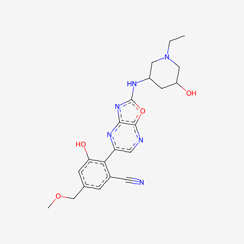 CCN1CC(O)CC(Nc2nc3nc(-c4c(O)cc(COC)cc4C#N)cnc3o2)C1